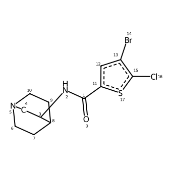 O=C(NC1CN2CCC1CC2)c1cc(Br)c(Cl)s1